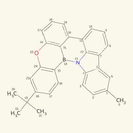 Cc1ccc2c(c1)c1cccc3c1n2B1c2ccc(C(C)(C)C)cc2Oc2cccc-3c21